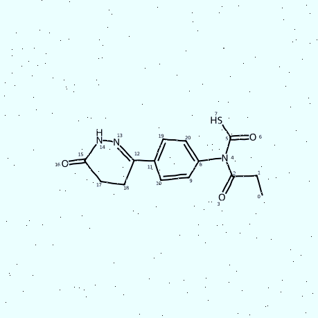 CCC(=O)N(C(=O)S)c1ccc(C2=NNC(=O)CC2)cc1